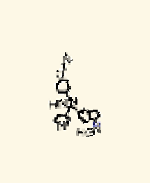 CN(C)CCOc1ccc(-c2nc(-c3ccc4c(c3)CC/C4=N/O)c(-c3ccncc3)[nH]2)cc1